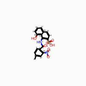 Cc1ccc(C(=O)Nc2c(S(=O)(=O)O)ccc3cccc(O)c23)c([N+](=O)[O-])c1